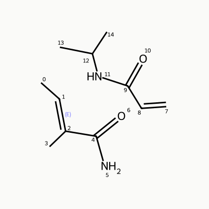 C/C=C(\C)C(N)=O.C=CC(=O)NC(C)C